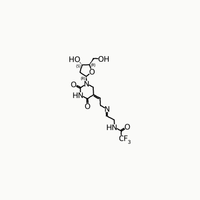 O=C1NC(=O)N([C@H]2C[C@H](O)[C@@H](CO)O2)CC1=CCN=CCNC(=O)C(F)(F)F